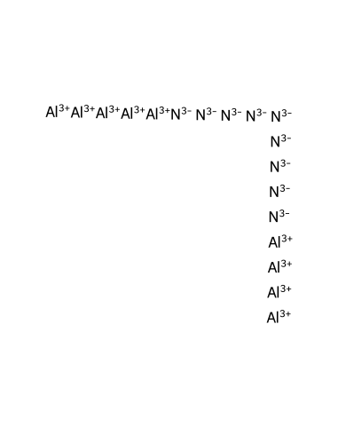 [Al+3].[Al+3].[Al+3].[Al+3].[Al+3].[Al+3].[Al+3].[Al+3].[Al+3].[N-3].[N-3].[N-3].[N-3].[N-3].[N-3].[N-3].[N-3].[N-3]